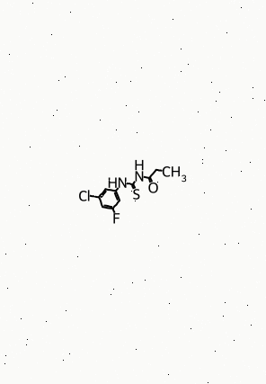 CCC(=O)NC(=S)Nc1cc(F)cc(Cl)c1